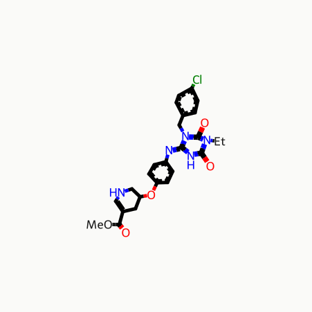 CCn1c(=O)[nH]/c(=N\c2ccc(OC3CNC=C(C(=O)OC)C3)cc2)n(Cc2ccc(Cl)cc2)c1=O